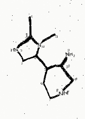 CC1NCC(C2CCNCC2N)N1C